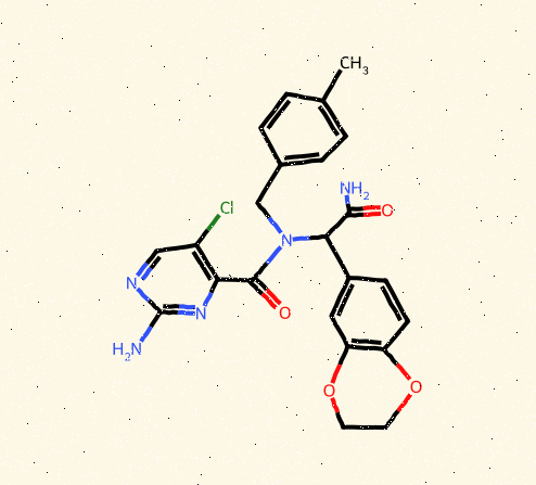 Cc1ccc(CN(C(=O)c2nc(N)ncc2Cl)C(C(N)=O)c2ccc3c(c2)OCCO3)cc1